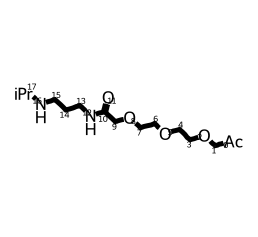 CC(=O)COCCOCCOCC(=O)NCCCNC(C)C